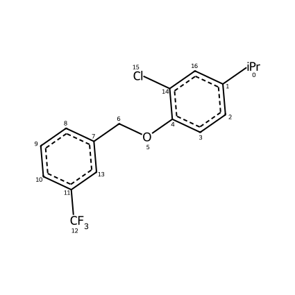 CC(C)c1ccc(OCc2cccc(C(F)(F)F)c2)c(Cl)c1